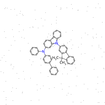 CC1(C)c2ccccc2-c2ccc(-n3c4ccccc4c4ccc(N(c5ccccc5)c5ccc(-c6ccccc6)cc5)cc43)cc21